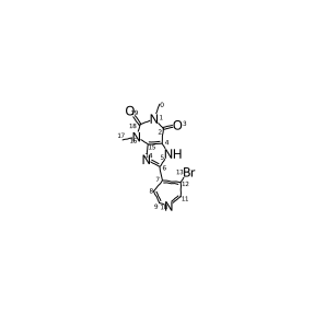 Cn1c(=O)c2[nH]c(-c3ccncc3Br)nc2n(C)c1=O